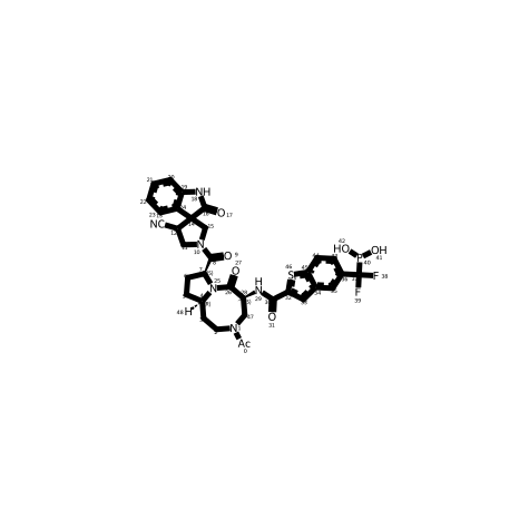 CC(=O)N1CC[C@H]2CC[C@@H](C(=O)N3CC(C#N)C4(C3)C(=O)Nc3ccccc34)N2C(=O)[C@@H](NC(=O)c2cc3cc(C(F)(F)P(O)O)ccc3s2)C1